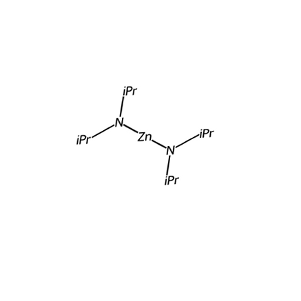 CC(C)[N]([Zn][N](C(C)C)C(C)C)C(C)C